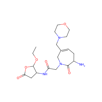 CCOC1OC(=O)CC1NC(=O)CN1CC(CN2CCOCC2)=CCC(N)C1=O